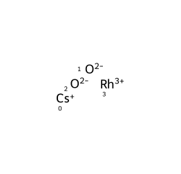 [Cs+].[O-2].[O-2].[Rh+3]